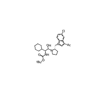 CC(=O)c1cn(C[C@@H]2CCCN2C(O)[C@@H](NC(=O)OC(C)(C)C)C2CCCCC2)c2ccc(Cl)cc12